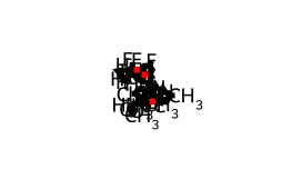 Cc1cc(C)c2c(=O)n(-c3ccc(Cl)c4c(NS(C)(=O)=O)nn(C)c34)c([C@H](Cc3cc(F)cc(F)c3)NC(=O)Cn3nc(C(F)F)c4c3C(F)(F)[C@@H]3C[C@H]43)nc2n1